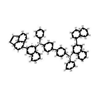 C1=Cc2ccc(-c3cc(N(c4ccccc4)c4ccc(-c5ccc(N(c6ccccc6)c6cc(-c7cccc8ccccc78)cc7ccccc67)cc5)cc4)c4ccccc4c3)c3cccc1c23